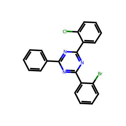 Clc1ccccc1-c1nc(-c2ccccc2)nc(-c2ccccc2Br)n1